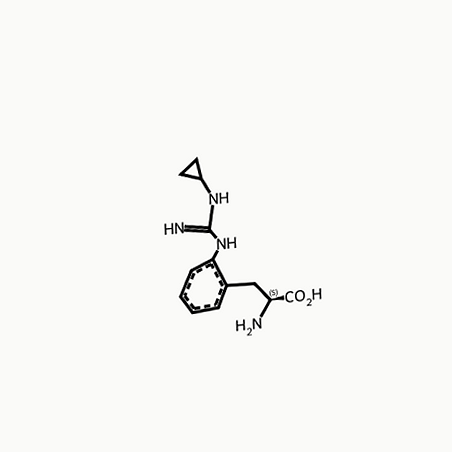 N=C(Nc1ccccc1C[C@H](N)C(=O)O)NC1CC1